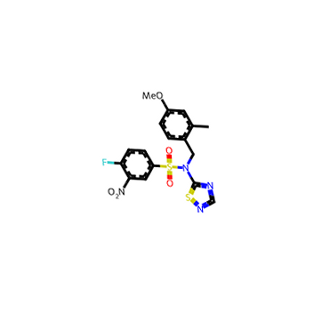 COc1ccc(CN(c2ncns2)S(=O)(=O)c2ccc(F)c([N+](=O)[O-])c2)c(C)c1